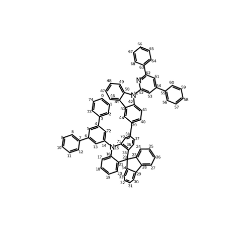 c1ccc(-c2cc(-c3ccccc3)cc(N3c4ccccc4C4(c5ccccc5-c5ccccc54)c4ccc(-c5ccc6c(c5)c5ccccc5n6-c5cc(-c6ccccc6)cc(-c6ccccc6)n5)cc43)c2)cc1